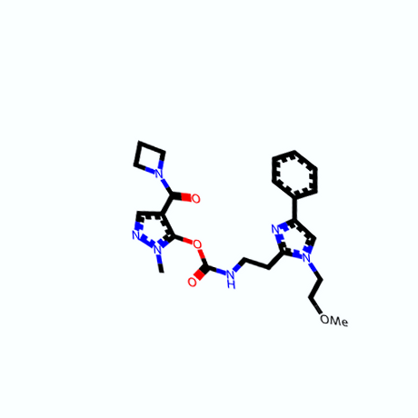 COCCn1cc(-c2ccccc2)nc1CCNC(=O)Oc1c(C(=O)N2CCC2)cnn1C